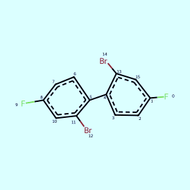 Fc1ccc(-c2ccc(F)cc2Br)c(Br)c1